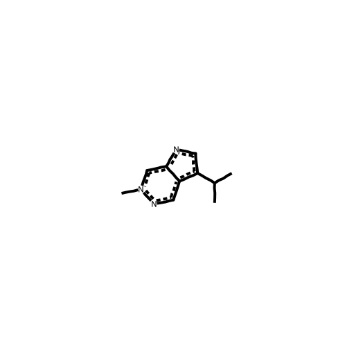 CC(C)c1cnc2cn(C)ncc1-2